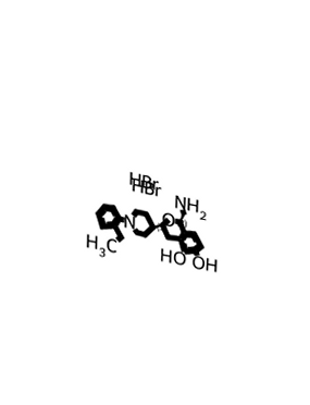 Br.Br.CCc1ccccc1N1CCC([C@@H]2Cc3c(ccc(O)c3O)[C@H](CN)O2)CC1